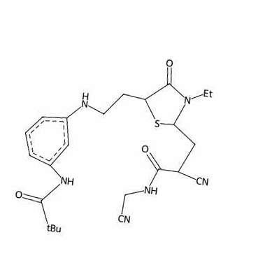 CCN1C(=O)C(CCNc2cccc(NC(=O)C(C)(C)C)c2)SC1CC(C#N)C(=O)NCC#N